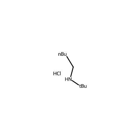 CCCCCNC(C)(C)C.Cl